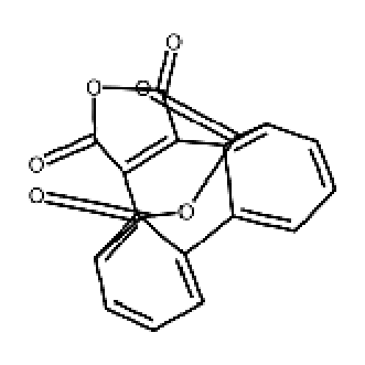 O=c1oc(=O)c2cccc3c4cccc1c4c1c(=O)oc(=O)c1c23